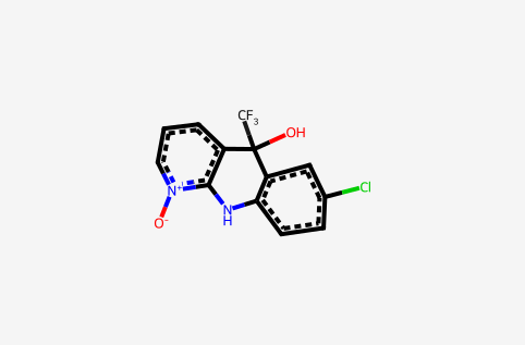 [O-][n+]1cccc2c1Nc1ccc(Cl)cc1C2(O)C(F)(F)F